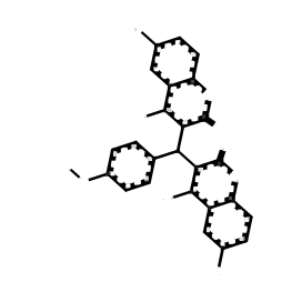 CSc1ccc(C(c2c(O)c3cc(Br)ccc3oc2=O)c2c(O)c3cc(Br)ccc3oc2=O)cc1